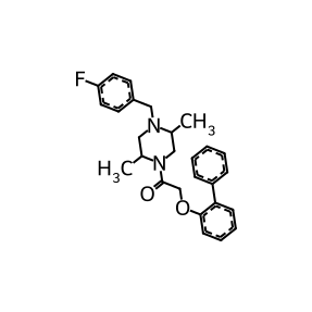 CC1CN(C(=O)COc2ccccc2-c2ccccc2)C(C)CN1Cc1ccc(F)cc1